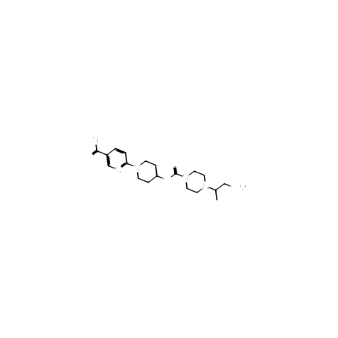 COCC(C)N1CCN(C(=O)OC2CCN(c3ccc(C(N)=O)cn3)CC2)CC1